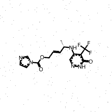 C[C@@H](/C=C/COC(=O)n1ccnc1)Nc1cn[nH]c(=O)c1C(F)(F)F